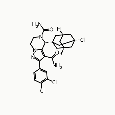 C[C@@]12C[C@H]3C[C@@](Cl)(C1)C[C@](C1c4c(C(N)=O)c(-c5ccc(Cl)c(Cl)c5)nn4CCN1C(N)=O)(C3)C2